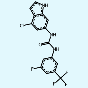 O=C(Nc1cc(F)cc(C(F)(F)F)c1)Nc1cc(Cl)c2cc[nH]c2c1